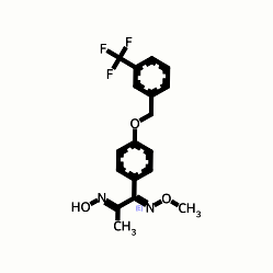 CO/N=C(/C(C)=NO)c1ccc(OCc2cccc(C(F)(F)F)c2)cc1